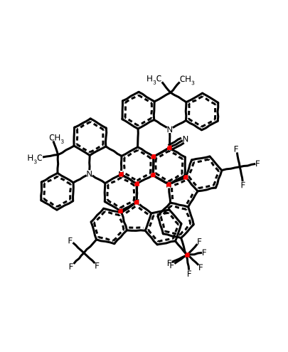 CC1(C)c2ccccc2N(c2ccccc2)c2c(-c3nc(-n4c5ccc(C(F)(F)F)cc5c5cc(C(F)(F)F)ccc54)c(-n4c5ccc(C(F)(F)F)cc5c5cc(C(F)(F)F)ccc54)c(C#N)c3-c3cccc4c3N(c3ccccc3)c3ccccc3C4(C)C)cccc21